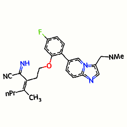 CCC/C(C)=C(/CCOc1cc(F)ccc1-c1ccc2ncc(CNC)n2c1)C(=N)C#N